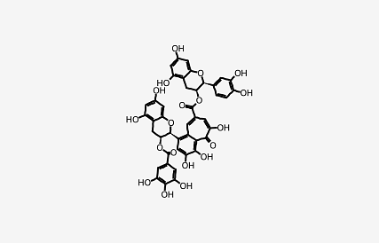 O=C(O[C@H]1Cc2c(O)cc(O)cc2O[C@H]1c1ccc(O)c(O)c1)c1cc(O)c(=O)c2c(O)c(O)cc([C@@H]3Oc4cc(O)cc(O)c4C[C@@H]3OC(=O)c3cc(O)c(O)c(O)c3)c2c1